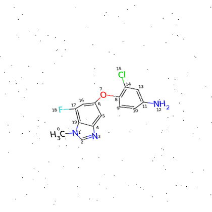 Cn1cnc2cc(Oc3ccc(N)cc3Cl)cc(F)c21